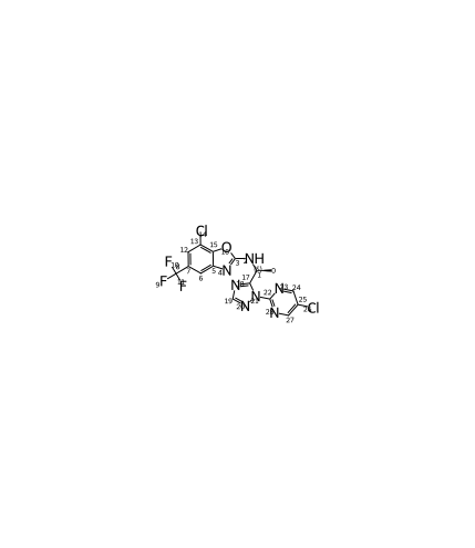 C[C@H](Nc1nc2cc(C(F)(F)F)cc(Cl)c2o1)c1ncnn1-c1ncc(Cl)cn1